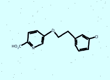 O=C(O)c1ccc(OCCc2cccc(Cl)c2)cn1